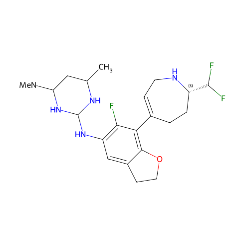 CNC1CC(C)NC(Nc2cc3c(c(C4=CCN[C@H](C(F)F)CC4)c2F)OCC3)N1